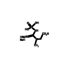 CN(CC(=O)O)C(=N)NP(=O)(O)O.[NaH].[NaH]